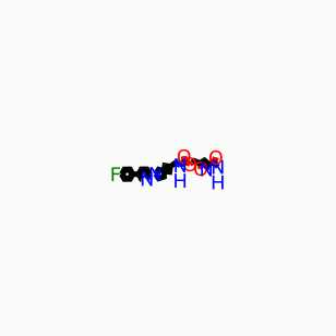 CNC(=O)c1cc(COC(=O)NCC2CC3(CCN(c4ccc(-c5ccc(F)cc5)cn4)C3)C2)on1